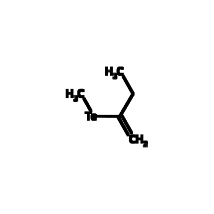 C=C(CC)[Te]C